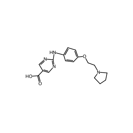 O=C(O)c1cnc(Nc2ccc(OCCN3CCCC3)cc2)nc1